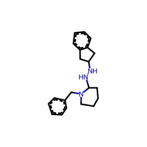 c1ccc(CN2CCCCC2NNC2Cc3ccccc3C2)cc1